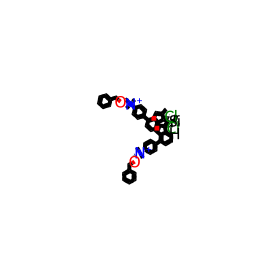 CC1=Cc2c(-c3ccc([N+](C)(C)COCc4ccccc4)cc3)cccc2[CH]1[Zr]([Cl])([Cl])([CH]1C(C)=Cc2c(-c3ccc([N+](C)(C)COCc4ccccc4)cc3)cccc21)[SiH](C)C